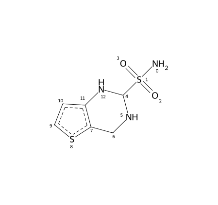 NS(=O)(=O)C1NCc2sccc2N1